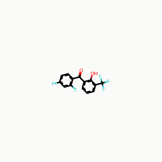 O=C(c1ccc(F)cc1F)c1cccc(C(F)(F)F)c1O